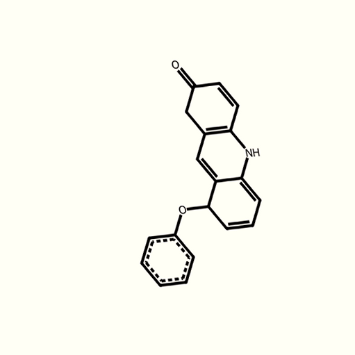 O=C1C=CC2=C(C=C3C(=CC=CC3Oc3ccccc3)N2)C1